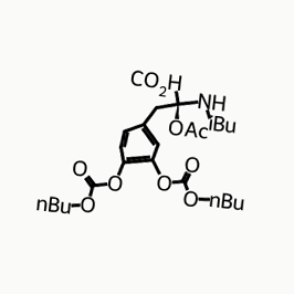 CCCCOC(=O)Oc1ccc(C[C@](NC(C)CC)(OC(C)=O)C(=O)O)cc1OC(=O)OCCCC